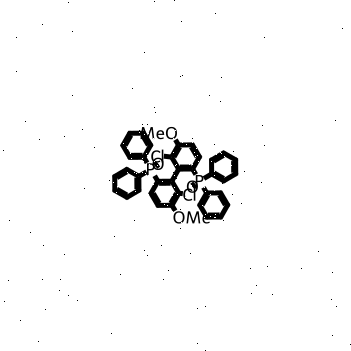 COc1ccc(P(=O)(c2ccccc2)c2ccccc2)c(-c2c(P(=O)(c3ccccc3)c3ccccc3)ccc(OC)c2Cl)c1Cl